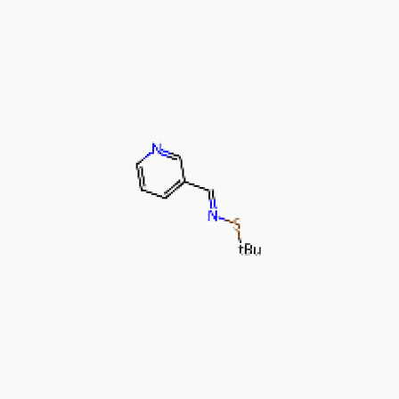 CC(C)(C)SN=Cc1cccnc1